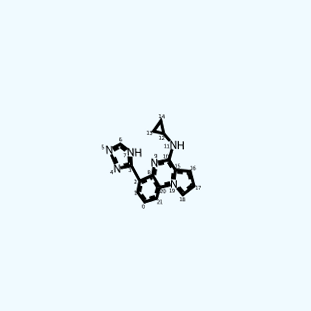 c1cc(-c2nnc[nH]2)c2nc(NC3CC3)c3cccn3c2c1